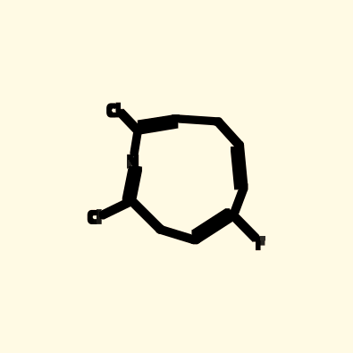 FC1=C/C/C(Cl)=N\C(Cl)=C/C/C=C\1